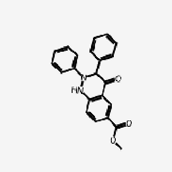 COC(=O)c1ccc2c(c1)C(=O)C(c1ccccc1)N(c1ccccc1)N2